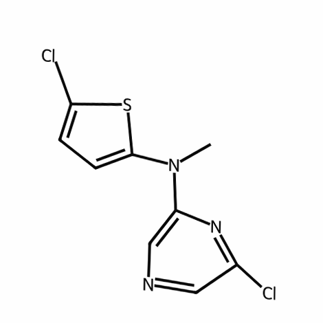 CN(c1cncc(Cl)n1)c1ccc(Cl)s1